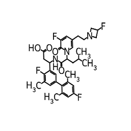 Cc1cc(-c2c(C)cc(F)cc2C)cc(C(CC(=O)O)NC(=O)C(CC(C)C)n2cc(CCN3CC(F)C3)cc(F)c2=O)c1F